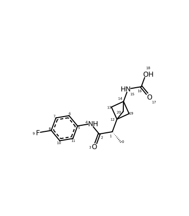 C[C@H](C(=O)Nc1ccc(F)cc1)C12CC(NC(=O)O)(C1)C2